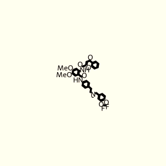 COc1cc(NC(=O)c2cc(=O)c3ccccc3o2)c(C(=O)Nc2ccc(CCN(C)Cc3ccc4c(c3)OC(F)(F)O4)cc2)cc1OC